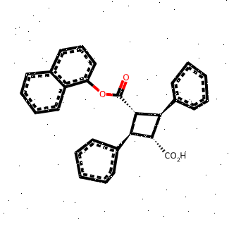 O=C(O)[C@@H]1[C@@H](c2ccccc2)[C@H](C(=O)Oc2cccc3ccccc23)[C@H]1c1ccccc1